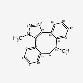 Cn1nnc2c1-c1ccccc1CC(O)c1ccccc1-2